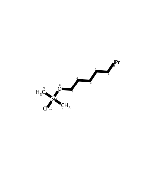 CC(C)CCCCCO[Si](C)(C)Cl